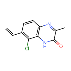 C=Cc1ccc2nc(C)c(=O)[nH]c2c1Cl